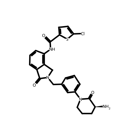 N[C@H]1CCCN(c2cccc(CN3Cc4c(NC(=O)c5ccc(Cl)s5)cccc4C3=O)c2)C1=O